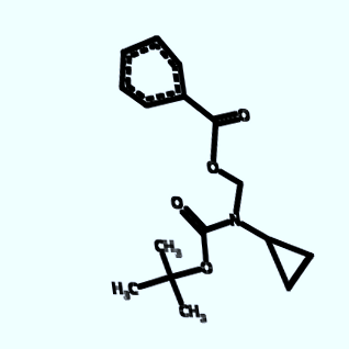 CC(C)(C)OC(=O)N(COC(=O)c1ccccc1)C1CC1